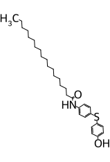 CCCCCCCCCCCCCCCCCC(=O)Nc1ccc(Sc2ccc(O)cc2)cc1